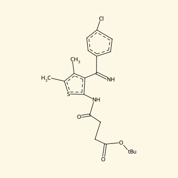 Cc1sc(NC(=O)CCC(=O)OC(C)(C)C)c(C(=N)c2ccc(Cl)cc2)c1C